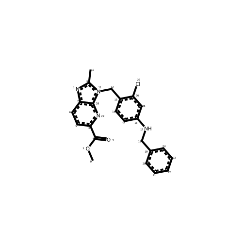 COC(=O)c1ccc2nc(C)n(Cc3ccc(NCc4ccccc4)cc3Cl)c2n1